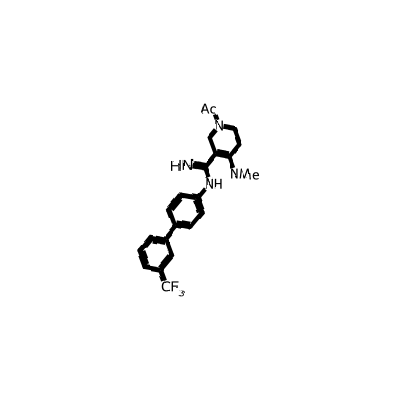 CNC1=C(C(=N)Nc2ccc(-c3cccc(C(F)(F)F)c3)cc2)CN(C(C)=O)CC1